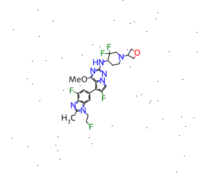 COc1nc(N[C@@H]2CCN(C3COC3)CC2(F)F)nn2cc(F)c(-c3cc(F)c4nc(C)n(CCF)c4c3)c12